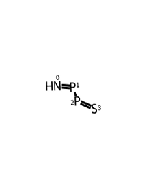 N=PP=S